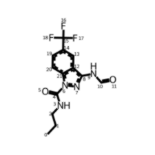 CCCNC(=O)n1nc(NC=O)c2cc(C(F)(F)F)ccc21